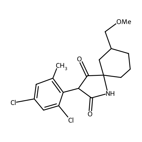 COCC1CCCC2(C1)NC(=O)C(c1c(C)cc(Cl)cc1Cl)C2=O